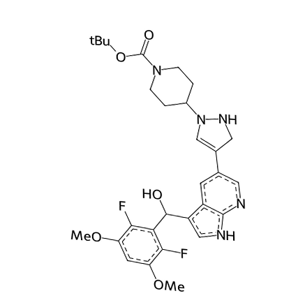 COc1cc(OC)c(F)c(C(O)c2c[nH]c3ncc(C4=CN(C5CCN(C(=O)OC(C)(C)C)CC5)NC4)cc23)c1F